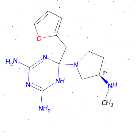 CN[C@@H]1CCN(C2(Cc3ccco3)N=C(N)N=C(N)N2)C1